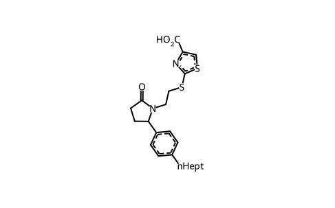 CCCCCCCc1ccc(C2CCC(=O)N2CCSc2nc(C(=O)O)cs2)cc1